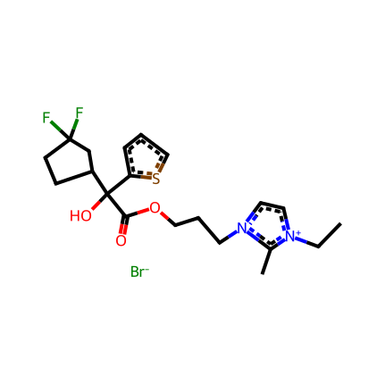 CC[n+]1ccn(CCCOC(=O)C(O)(c2cccs2)C2CCC(F)(F)C2)c1C.[Br-]